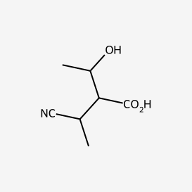 CC(O)C(C(=O)O)C(C)C#N